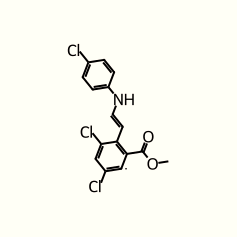 COC(=O)c1[c]c(Cl)cc(Cl)c1C=CNc1ccc(Cl)cc1